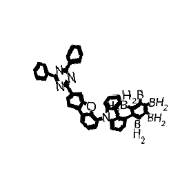 Bc1c(B)c(B)c(-c2cccc3c2c2ccccc2n3-c2cccc3c2oc2cc(-c4nc(-c5ccccc5)nc(-c5ccccc5)n4)ccc23)c(B)c1B